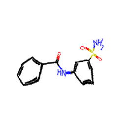 NS(=O)(=O)c1cccc(NC(=O)c2ccccc2)c1